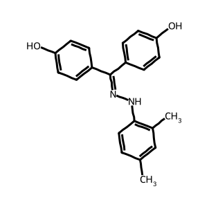 Cc1ccc(NN=C(c2ccc(O)cc2)c2ccc(O)cc2)c(C)c1